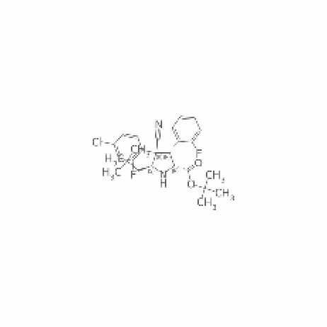 CC(C)(C)C[C@@H]1N[C@@H](C(=O)OC(C)(C)C)[C@@H](c2ccccc2F)[C@@]1(C#N)c1ccc(Cl)cc1F